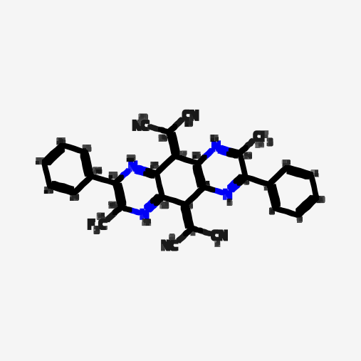 N#CC(C#N)=c1c2nc(-c3ccccc3)c(C(F)(F)F)nc2c(=C(C#N)C#N)c2nc(-c3ccccc3)c(C(F)(F)F)nc12